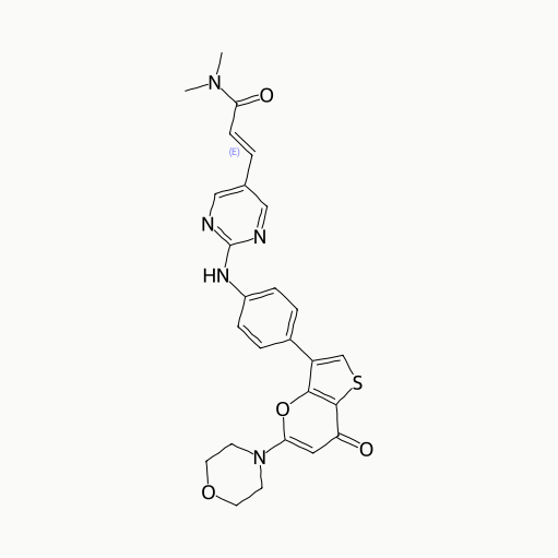 CN(C)C(=O)/C=C/c1cnc(Nc2ccc(-c3csc4c(=O)cc(N5CCOCC5)oc34)cc2)nc1